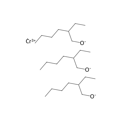 CCCCC(CC)C[O-].CCCCC(CC)C[O-].CCCCC(CC)C[O-].[Cr+3]